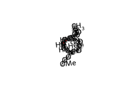 COCCOCCOCCN1CCNC(=O)c2cccc(c2O)C(=O)NCCN(CCOS(=O)(=O)c2ccc(C)cc2)CCNC(=O)c2cccc(c2O)C(=O)NCC1